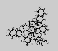 C[SiH](C)[Zr]([Cl])([Cl])([CH]1C(CC23CCC(CC2)C3)=Cc2c(-c3ccc4ccccc4c3)cccc21)[CH]1C(CC23CCC(CC2)C3)=Cc2c(-c3ccc4ccccc4c3)cccc21